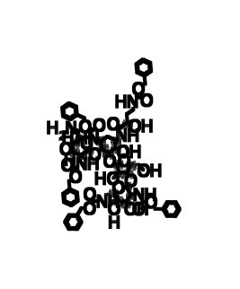 NC[C@H]1O[C@H](O[C@H]2[C@H](O[C@@H]3O[C@H](CO)[C@@H](O[C@H]4O[C@@H](CNC(=O)OCc5ccccc5)[C@@H](O)[C@H](O)[C@H]4NC(=O)OCc4ccccc4)[C@H]3O)[C@@H](O)[C@H](NC(=O)[C@@H](O)CCNC(=O)OCc3ccccc3)C[C@@H]2NC(=O)OCc2ccccc2)[C@H](NC(=O)OCc2ccccc2)[C@H]2O[C@H]21